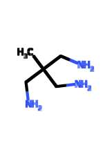 CC(CN)(CN)CN